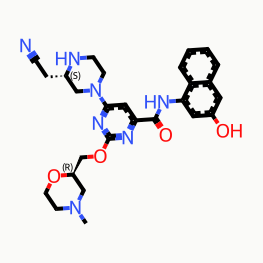 CN1CCO[C@@H](COc2nc(C(=O)Nc3cc(O)cc4ccccc34)cc(N3CCN[C@@H](CC#N)C3)n2)C1